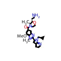 COc1cc(C(=O)N2CCO[C@H](CCN)[C@@H]2C)cc2nc(-c3cc4cccnc4n3CC3CC3)n(C)c12